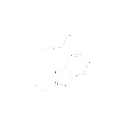 CC(C)c1cccc2cn(CF)cc12